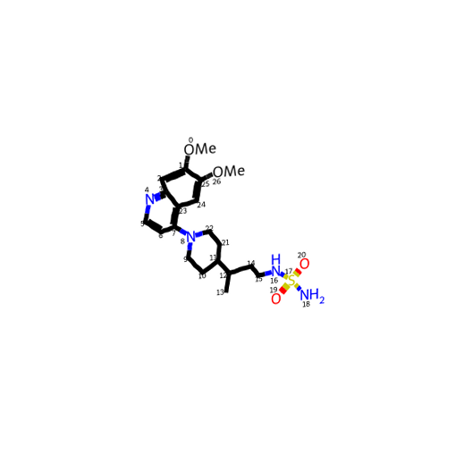 COc1cc2nccc(N3CCC(C(C)CCNS(N)(=O)=O)CC3)c2cc1OC